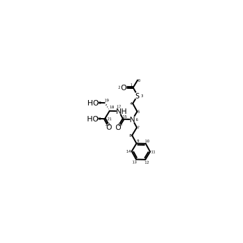 CC(=O)SCCN(CCc1ccccc1)C(=O)N[C@@H](CO)C(=O)O